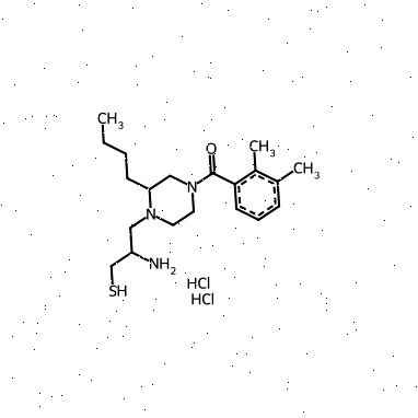 CCCCC1CN(C(=O)c2cccc(C)c2C)CCN1CC(N)CS.Cl.Cl